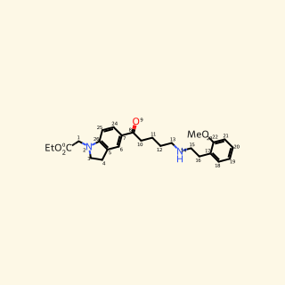 CCOC(=O)CN1CCc2cc(C(=O)CCCCNCCc3ccccc3OC)ccc21